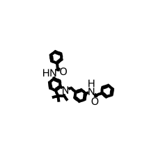 CC1N(Cc2cccc(NC(=O)c3ccccc3)c2)c2cc(NC(=O)c3ccccc3)ccc2C1(C)C